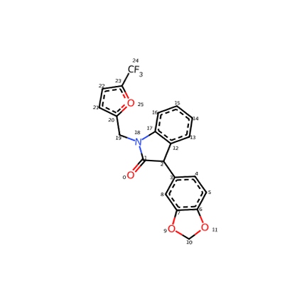 O=C1C(c2ccc3c(c2)OCO3)c2ccccc2N1Cc1ccc(C(F)(F)F)o1